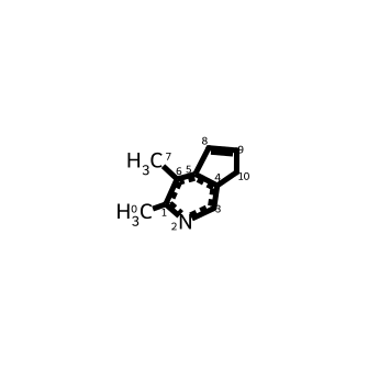 Cc1ncc2c(c1C)C=CC2